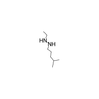 CCNNCCCC(C)C